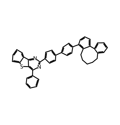 c1ccc(-c2nc(-c3ccc(-c4ccc(-c5cccc6c5CCCCCc5ccccc5-6)cc4)cc3)nc3c2sc2ccccc23)cc1